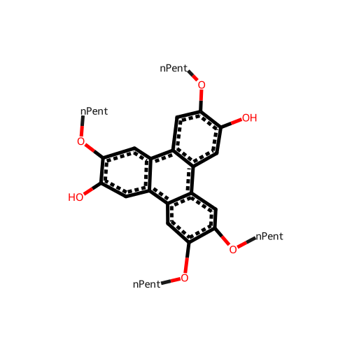 CCCCCOc1cc2c(cc1O)c1cc(OCCCCC)c(OCCCCC)cc1c1cc(O)c(OCCCCC)cc12